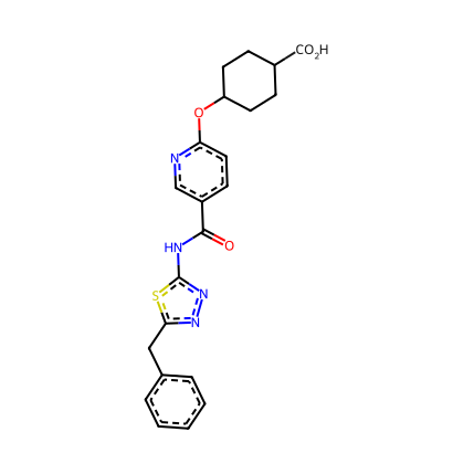 O=C(Nc1nnc(Cc2ccccc2)s1)c1ccc(OC2CCC(C(=O)O)CC2)nc1